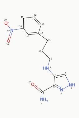 NC(=O)c1n[nH]cc1NCCCc1cccc([N+](=O)[O-])c1